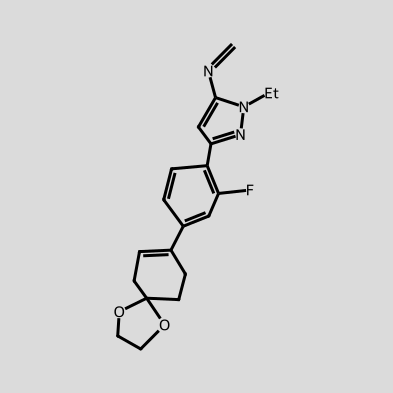 C=Nc1cc(-c2ccc(C3=CCC4(CC3)OCCO4)cc2F)nn1CC